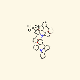 CC(C)(C)c1ccc(N(c2cccc(-c3cccc4c5ccccc5n(-c5ccccc5)c34)c2)c2ccccc2-c2cccc3cccc(C4CCCCC4)c23)c(-c2ccccc2)c1